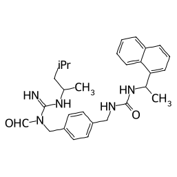 CC(C)CC(C)NC(=N)N(C=O)Cc1ccc(CNC(=O)NC(C)c2cccc3ccccc23)cc1